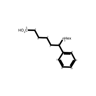 CCCCCCC(CCCCC(=O)O)c1ccccc1